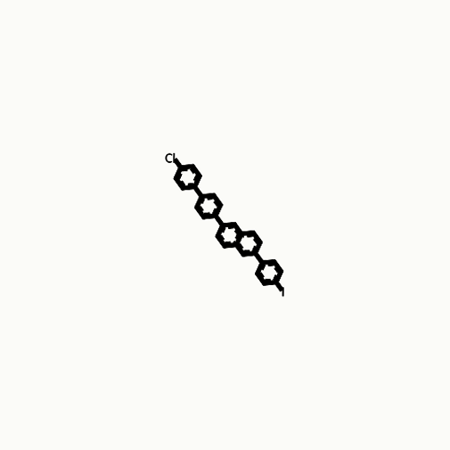 Clc1ccc(-c2ccc(-c3ccc4cc(-c5ccc(I)cc5)ccc4c3)cc2)cc1